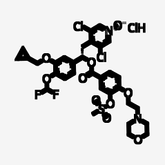 CS(=O)(=O)Oc1cc(C(=O)O[C@@H](Cc2c(Cl)c[n+]([O-])cc2Cl)c2ccc(OC(F)F)c(OCC3CC3)c2)ccc1OCCN1CCOCC1.Cl